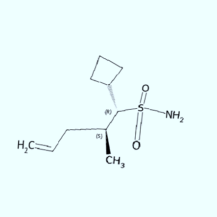 C=CC[C@H](C)[C@H](C1CCC1)S(N)(=O)=O